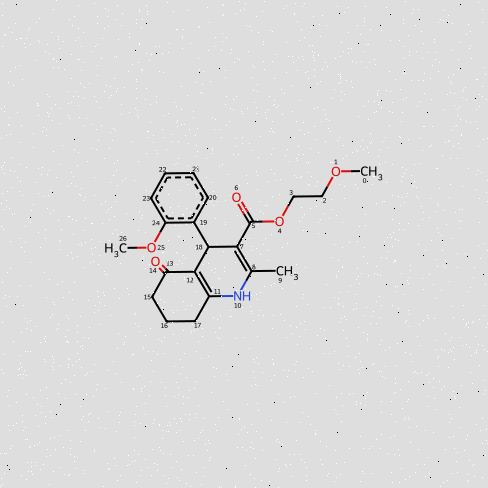 COCCOC(=O)C1=C(C)NC2=C(C(=O)CCC2)C1c1ccccc1OC